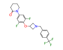 O=C1CCCCN1c1cc(F)c(OC2CN(Cc3ccc(C(F)(F)F)cc3)C2)c(F)c1